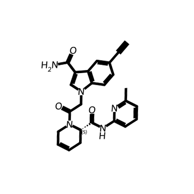 C#Cc1ccc2c(c1)c(C(N)=O)cn2CC(=O)N1CC=CC[C@H]1C(=O)Nc1cccc(C)n1